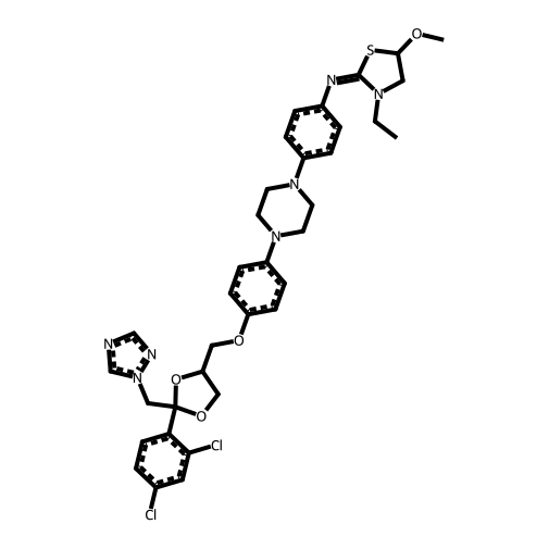 CCN1CC(OC)S/C1=N/c1ccc(N2CCN(c3ccc(OCC4COC(Cn5cncn5)(c5ccc(Cl)cc5Cl)O4)cc3)CC2)cc1